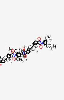 Cc1cc(C(=O)O)cc(N2C(=O)c3ccc(C(C)(c4ccc5c(c4)C(=O)N(C(c4c(C)c(C)c(N6C(=O)c7ccc(C(C)(c8ccc9c(c8)C(=O)N(C)C9=O)C(F)(F)F)cc7C6=O)c(C)c4C)(C(C)C)C(C)C)C5=O)C(F)(F)F)cc3C2=O)c1